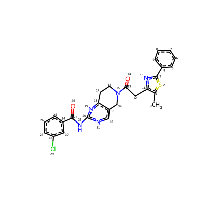 Cc1sc(-c2ccccc2)nc1CC(=O)N1CCc2nc(NC(=O)c3cccc(Cl)c3)ncc2C1